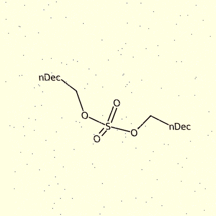 CCCCCCCCCCCOS(=O)(=O)OCCCCCCCCCCC